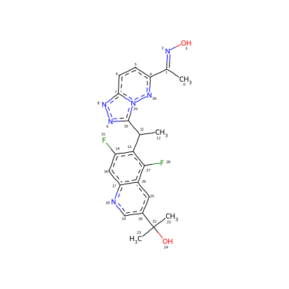 CC(=NO)c1ccc2nnc(C(C)c3c(F)cc4ncc(C(C)(C)O)cc4c3F)n2n1